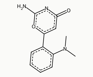 CN(C)c1ccccc1-c1cc(=O)nc(N)o1